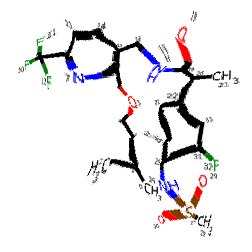 CC(C)=CCOc1nc(C(F)(F)F)ccc1CNC(=O)C(C)c1ccc(NS(C)(=O)=O)c(F)c1